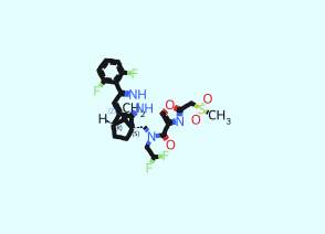 C=C1[C@H]2CC[C@]1(CN(CC(F)F)C(=O)c1coc(CS(C)(=O)=O)n1)C(=N)/C2=C\C(=N)c1c(F)cccc1F